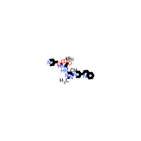 Cc1nc(NC[C@H](NC(=O)OCc2ccncc2)C(=O)OC(C)(C)C)c(C)c(N2CCC(c3ccc4c(n3)CCCC4)CC2)n1